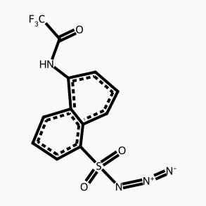 [N-]=[N+]=NS(=O)(=O)c1cccc2c(NC(=O)C(F)(F)F)cccc12